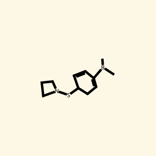 CB(C)C1=CCC(SN2CCC2)C=C1